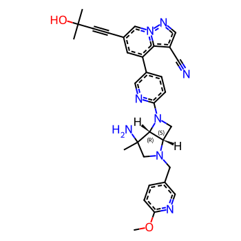 COc1ccc(CN2CC(C)(N)[C@H]3[C@@H]2CN3c2ccc(-c3cc(C#CC(C)(C)O)cn4ncc(C#N)c34)cn2)cn1